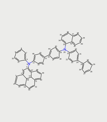 C1=CC2=CC(N(c3ccccc3)c3ccc(-c4ccc(N(c5ccc(-c6ccccc6)cc5)c5cccc6ccccc56)cc4)cc3)=C3C=CC=C4C=CC(=C1)C2C43